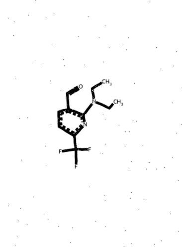 CCN(CC)c1nc(C(F)(F)F)ccc1C=O